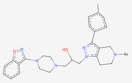 CC(=O)N1CCc2c(c(-c3ccc(C)cc3)nn2CC(O)CN2CCN(c3noc4ccccc34)CC2)C1